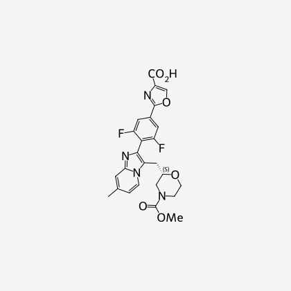 COC(=O)N1CCO[C@@H](Cc2c(-c3c(F)cc(-c4nc(C(=O)O)co4)cc3F)nc3cc(C)ccn23)C1